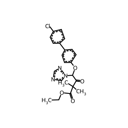 CCOC(=O)C(C)(C)C(=O)C(Oc1ccc(-c2ccc(Cl)cc2)cc1)n1cncn1